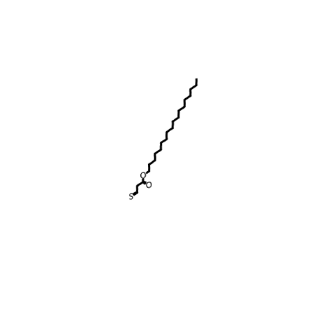 CCCCCCCCCCCCCCCCCCOC(=O)CC=S